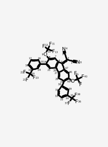 N#CC(C#N)=C1c2cc(OC(F)(F)F)c(-c3cccc(C(F)(F)F)c3)cc2-c2cc(-c3cccc(C(F)(F)F)c3)c(OC(F)(F)F)cc21